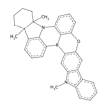 Cn1c2ccccc2c2cc3c(cc21)B1c2cccc4c2N(c2cccc(c21)O3)C1(C)CCCCC41C